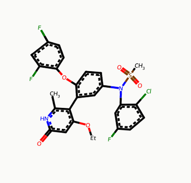 CCOc1cc(=O)[nH]c(C)c1-c1cc(N(c2cc(F)ccc2Cl)S(C)(=O)=O)ccc1Oc1ccc(F)cc1F